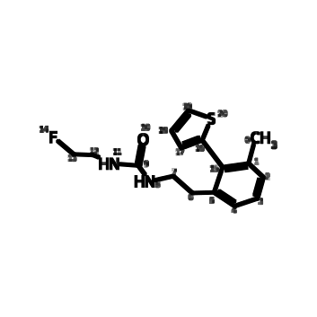 Cc1cccc(CCNC(=O)NCCF)c1-c1cccs1